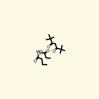 CC(C)(C)C(=O)CC(=O)C(C)(C)C.CCC(=O)O.CCCC(=O)O